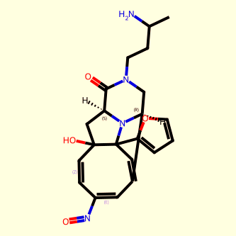 CC(N)CCN1C[C@H]2C3=CC4(c5ccco5)N2[C@@H](CC4(O)/C=C\C(N=O)=C/3)C1=O